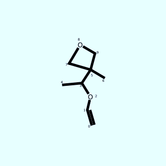 C=COC(C)C1(C)COC1